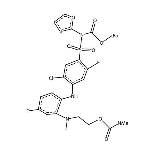 CNC(=O)OCCN(C)c1cc(F)ccc1Nc1cc(F)c(S(=O)(=O)N(C(=O)OC(C)(C)C)c2ncco2)cc1Cl